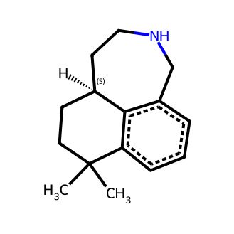 CC1(C)CC[C@H]2CCNCc3cccc1c32